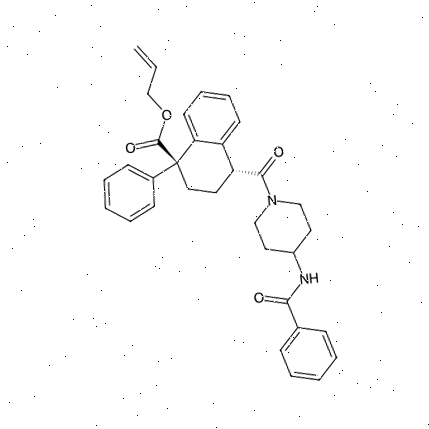 C=CCOC(=O)[C@]1(c2ccccc2)CC[C@@H](C(=O)N2CCC(NC(=O)c3ccccc3)CC2)c2ccccc21